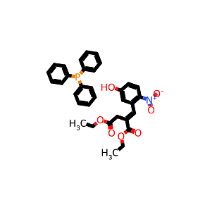 CCOC(=O)C/C(=C\c1cc(O)ccc1[N+](=O)[O-])C(=O)OCC.c1ccc(P(c2ccccc2)c2ccccc2)cc1